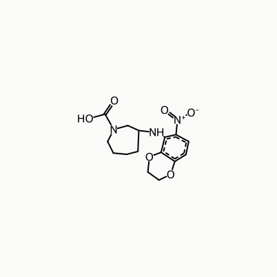 O=C(O)N1CCCCC(Nc2c([N+](=O)[O-])ccc3c2OCCO3)C1